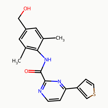 Cc1cc(CO)cc(C)c1NC(=O)c1nccc(-c2ccsc2)n1